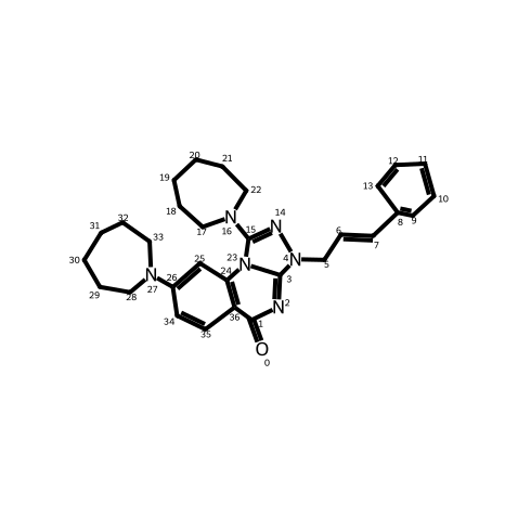 O=c1nc2n(CC=Cc3ccccc3)nc(N3CCCCCC3)n2c2cc(N3CCCCCC3)ccc12